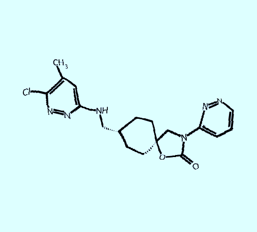 Cc1cc(NC[C@H]2CC[C@]3(CC2)CN(c2cccnn2)C(=O)O3)nnc1Cl